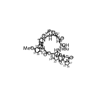 CC[C@H](C)[C@H]1NC(=O)[C@@H](N2C(=O)[C@H](N(C)C(=O)[C@@H]3CCCN3C(=O)C(C)=O)CC2C)[C@@H](C)OC(=O)[C@H](Cc2ccc(OC)cc2)N(C)C(=O)[C@@H]2CCCN2C(=O)[C@H](CC(C)C)NC(=O)C(C)(C)NC(=O)C[C@@H]1O